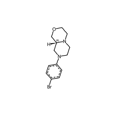 Brc1ccc(N2CCN3CCOC[C@H]3C2)cc1